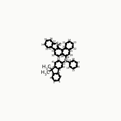 CC1(C)c2ccccc2-c2cc(N(c3ccccc3)c3cc4ccccc4c4c3ccc3c5ccccc5[se]c34)ccc21